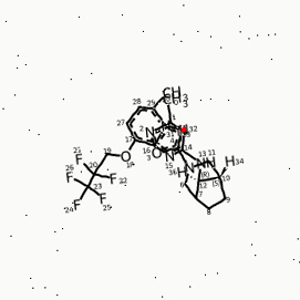 Cc1noc(N2CC3CC[C@@H](C2)[C@@H]3Nc2nc3c(OCC(F)(F)C(F)(F)F)ccc(C)n3n2)n1